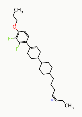 CC/C=C\CCCC1CCC(C2CC=C(c3ccc(OCCC)c(F)c3F)CC2)CC1